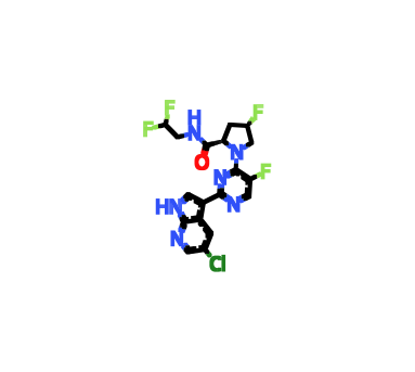 O=C(NCC(F)F)[C@H]1C[C@@H](F)CN1c1nc(-c2c[nH]c3ncc(Cl)cc23)ncc1F